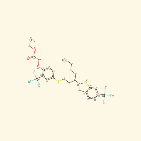 CCCCC(CCSc1ccc(OCC(=O)OCC)c(C(F)(F)F)c1)C1Cc2ccc(C(F)(F)F)cc2S1